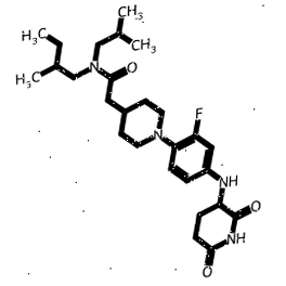 CCC(C)CN(CC(C)C)C(=O)CC1CCN(c2ccc(NC3CCC(=O)NC3=O)cc2F)CC1